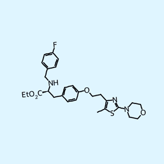 CCOC(=O)[C@H](Cc1ccc(OCCc2nc(N3CCOCC3)sc2C)cc1)NCc1ccc(F)cc1